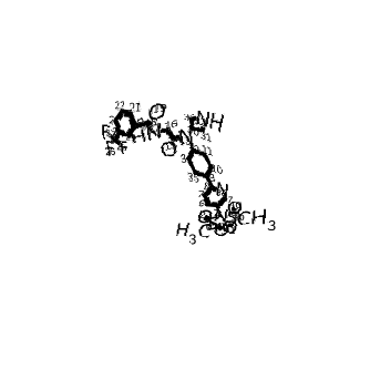 CS(=O)(=O)N(c1ccc(C2CCC(N(C(=O)CNC(=O)c3cccc(C(F)(F)F)c3)C3CNC3)CC2)nc1)S(C)(=O)=O